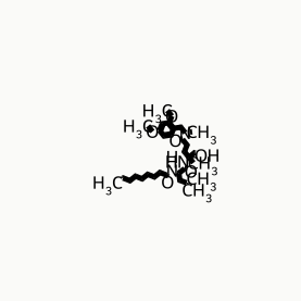 CCCCCCCCC(=O)NC(CC(C)C)C(=O)NC(C)(CO)CCC(=O)N(C)Cc1ccc(OC)cc1OC